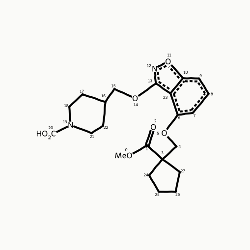 COC(=O)C1(COc2cccc3onc(OCC4CCN(C(=O)O)CC4)c23)CCCC1